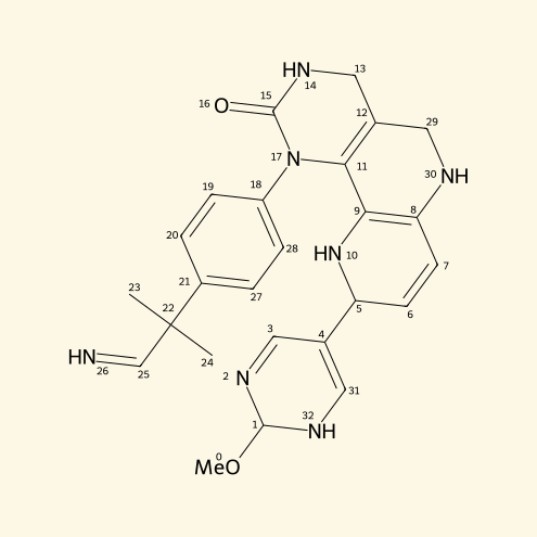 COC1N=CC(C2C=CC3=C(N2)C2=C(CNC(=O)N2c2ccc(C(C)(C)C=N)cc2)CN3)=CN1